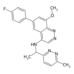 COc1cc(-c2ccc(F)cc2)cc2c(NC(C)c3ccc(C)nn3)cnnc12